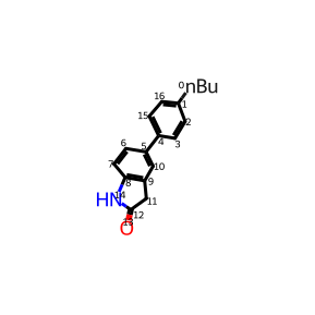 CCCCc1ccc(-c2ccc3c(c2)CC(=O)N3)cc1